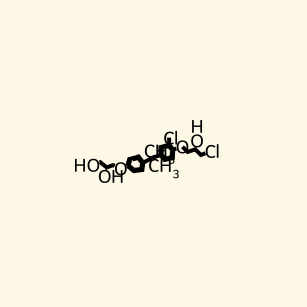 CC(C)(c1ccc(OC[C@H](O)CO)cc1)c1ccc(OC[C@@H](O)CCl)c(Cl)c1